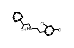 OC(CNCCc1ccc(Cl)cc1Cl)c1ccccc1